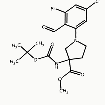 COC(=O)C1(NC(=O)OC(C)(C)C)CCN(c2cc(Cl)cc(Br)c2C=O)C1